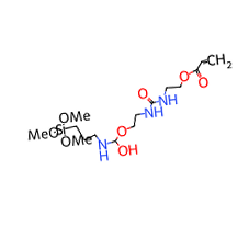 C=CC(=O)OCCNC(=O)NCCOC(O)NCCC[Si](OC)(OC)OC